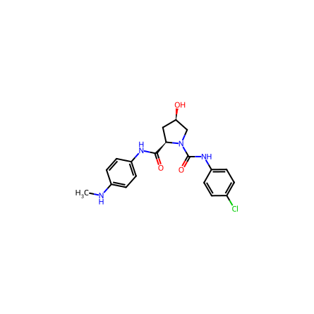 CNc1ccc(NC(=O)[C@H]2C[C@@H](O)CN2C(=O)Nc2ccc(Cl)cc2)cc1